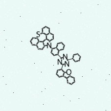 c1ccc(-c2nc(-c3ccc(-n4c5ccc6cccc7sc8cccc9ccc4c(c98)c5c67)c4ccccc34)nc(-c3cccc4c3oc3ccccc34)n2)cc1